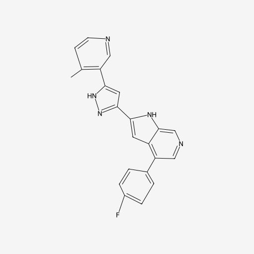 Cc1ccncc1-c1cc(-c2cc3c(-c4ccc(F)cc4)cncc3[nH]2)n[nH]1